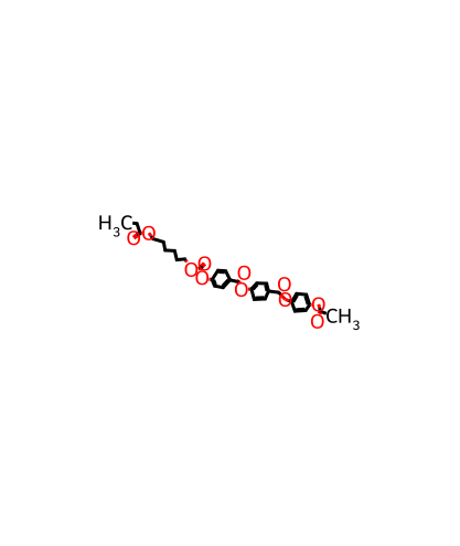 CCC(=O)OCCCCCCOC(=O)Oc1ccc(C(=O)Oc2ccc(C(=O)Oc3ccc(OC(C)=O)cc3)cc2)cc1